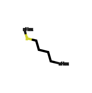 CCCCCCCCCCSCCCCCC